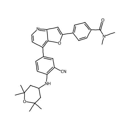 CN(C)C(=O)c1ccc(-c2cc3nccc(-c4ccc(NC5CC(C)(C)OC(C)(C)C5)c(C#N)c4)c3o2)cc1